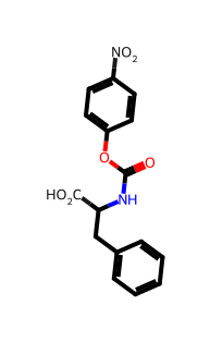 O=C(NC(Cc1ccccc1)C(=O)O)Oc1ccc([N+](=O)[O-])cc1